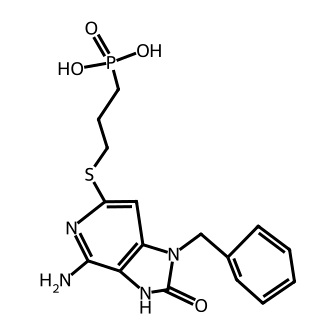 Nc1nc(SCCCP(=O)(O)O)cc2c1[nH]c(=O)n2Cc1ccccc1